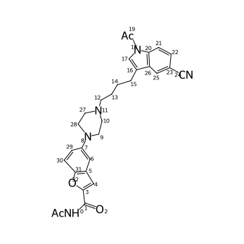 CC(=O)NC(=O)c1cc2cc(N3CCN(CCCCc4cn(C(C)=O)c5ccc(C#N)cc45)CC3)ccc2o1